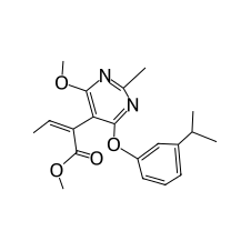 CC=C(C(=O)OC)c1c(OC)nc(C)nc1Oc1cccc(C(C)C)c1